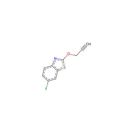 C#CCOc1nc2ccc(F)cc2s1